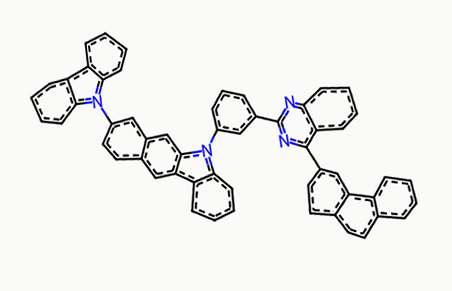 c1cc(-c2nc(-c3ccc4ccc5ccccc5c4c3)c3ccccc3n2)cc(-n2c3ccccc3c3cc4ccc(-n5c6ccccc6c6ccccc65)cc4cc32)c1